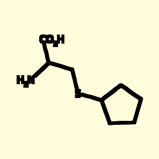 NC(CSC1CCCC1)C(=O)O